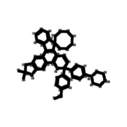 COc1ccc(C2(c3ccc(N4CCOCC4)cc3)C=Cc3c4c(c5cc6c(cc5c3O2)OC(C)(C)S6)-c2ccccc2C42CCCCCCC2)cc1